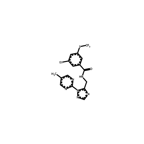 CCc1cc(SC(F)(F)F)cc(C(=O)NCc2ncnn2-c2ncc(C)cn2)c1